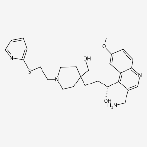 COc1ccc2ncc(CN)c([C@H](O)CCC3(CO)CCN(CCSc4ccccn4)CC3)c2c1